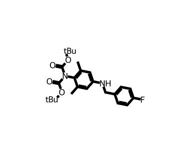 Cc1cc(NCc2ccc(F)cc2)cc(C)c1N(C(=O)OC(C)(C)C)C(=O)OC(C)(C)C